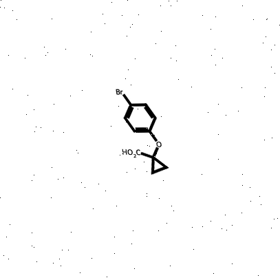 O=C(O)C1(Oc2ccc(Br)cc2)CC1